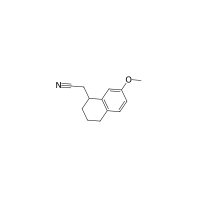 COc1ccc2c(c1)C(CC#N)CCC2